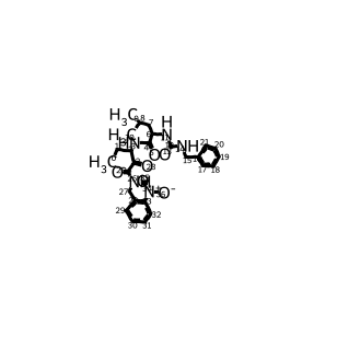 CCC(NC(=O)C(CC(C)C)NC(=O)NCc1ccccc1)C(=O)C(=O)NCc1ccccc1[N+](=O)[O-]